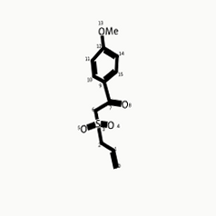 C=CCS(=O)(=O)CC(=O)c1ccc(OC)cc1